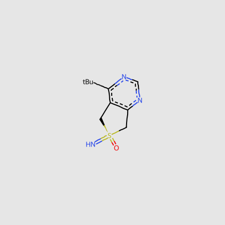 CC(C)(C)c1ncnc2c1C[S@](=N)(=O)C2